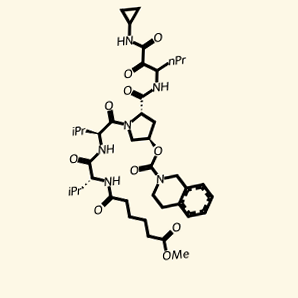 CCCC(NC(=O)[C@@H]1C[C@@H](OC(=O)N2CCc3ccccc3C2)CN1C(=O)[C@@H](NC(=O)[C@H](NC(=O)CCCCC(=O)OC)C(C)C)C(C)C)C(=O)C(=O)NC1CC1